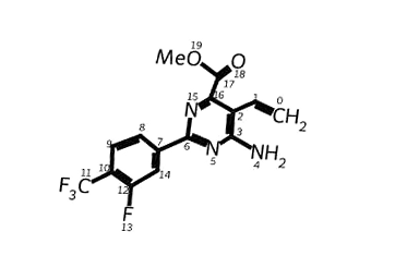 C=Cc1c(N)nc(-c2ccc(C(F)(F)F)c(F)c2)nc1C(=O)OC